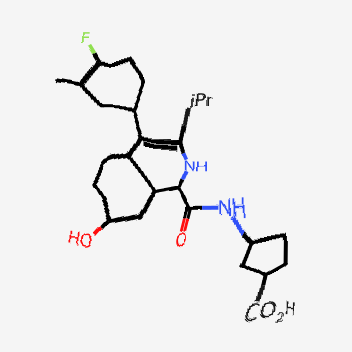 CC(C)C1=C(C2CCC(F)C(C)C2)C2CCC(O)CC2C(C(=O)NC2CCC(C(=O)O)C2)N1